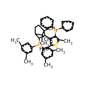 Cc1cc(C)cc(P(c2cc(C)cc(C)c2)C2C3CCC(C)(C2c2c(C)sc(C)c2P(c2ccccc2)c2ccccc2)C3(C)C)c1